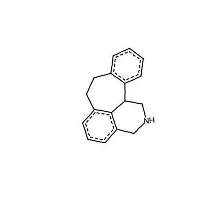 c1ccc2c(c1)CCc1cccc3c1C2CNC3